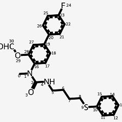 CN(C(=O)NCCCCSc1ccccc1)c1ccc(-c2ccc(F)cc2)cc1OC=O